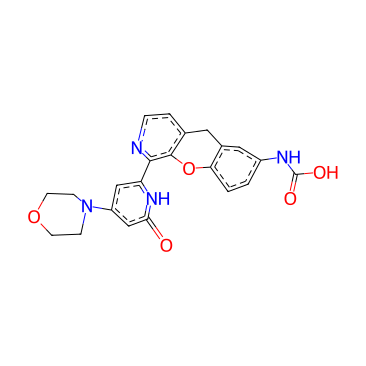 O=C(O)Nc1ccc2c(c1)Cc1ccnc(-c3cc(N4CCOCC4)cc(=O)[nH]3)c1O2